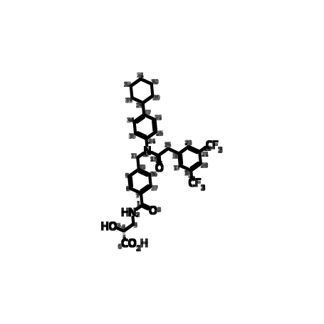 O=C(NC[C@@H](O)C(=O)O)c1ccc(CN(C(=O)Cc2cc(C(F)(F)F)cc(C(F)(F)F)c2)c2ccc(C3CCCCC3)cc2)cc1